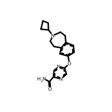 NC(=O)c1cnc(Oc2ccc3c(c2)CCN(C2CCC2)CC3)cn1